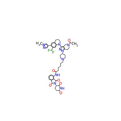 CC(=O)N1CCc2c(c(N3CCCc4cc(-c5cnn(C)c5)c(C(F)F)cc43)nn2C2CCN(CCCCCC(=O)Nc3cccc4c3C(=O)N(C3CCC(=O)NC3=O)C4=O)CC2)C1